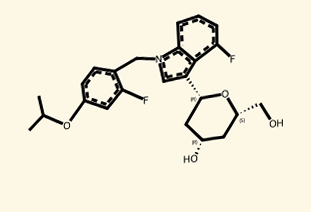 CC(C)Oc1ccc(Cn2cc([C@H]3C[C@@H](O)C[C@@H](CO)O3)c3c(F)cccc32)c(F)c1